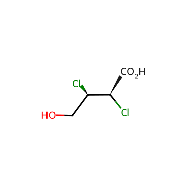 O=C(O)[C@@H](Cl)[C@H](Cl)CO